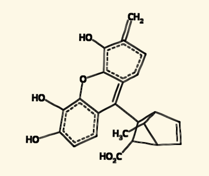 C=c1ccc2c(c1O)Oc1c(ccc(O)c1O)C=2C1C2C=CC(C2C)C1C(=O)O